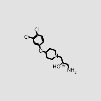 NC[C@@H](O)CN1CCC(Oc2ccc(Cl)c(Cl)c2)CC1